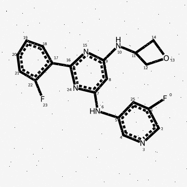 Fc1cncc(Nc2cc(NC3COC3)nc(-c3ccccc3F)n2)c1